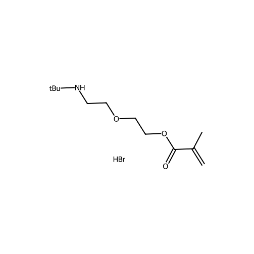 Br.C=C(C)C(=O)OCCOCCNC(C)(C)C